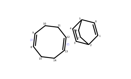 C1=CC2C=CC1CC2.C1=C\CC/C=C\CC/1